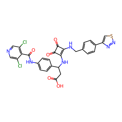 O=C(O)CC(Nc1c(NCc2ccc(-c3csnn3)cc2)c(=O)c1=O)c1ccc(NC(=O)c2c(Cl)cncc2Cl)cc1